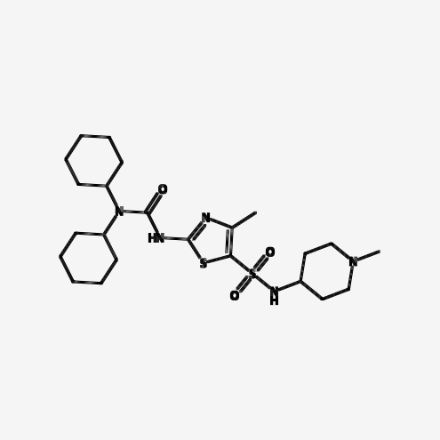 Cc1nc(NC(=O)N(C2CCCCC2)C2CCCCC2)sc1S(=O)(=O)NC1CCN(C)CC1